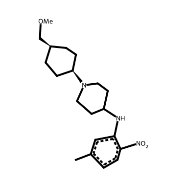 COC[C@H]1CC[C@@H](N2CCC(Nc3cc(C)ccc3[N+](=O)[O-])CC2)CC1